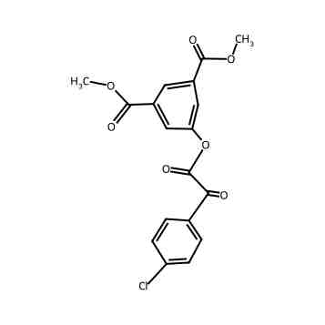 COC(=O)c1cc(OC(=O)C(=O)c2ccc(Cl)cc2)cc(C(=O)OC)c1